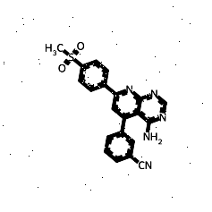 CS(=O)(=O)c1ccc(-c2cc(-c3cccc(C#N)c3)c3c(N)ncnc3n2)cc1